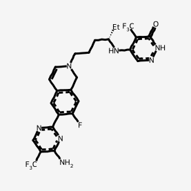 CC[C@@H](CCCN1C=Cc2cc(-c3ncc(C(F)(F)F)c(N)n3)c(F)cc2C1)Nc1cn[nH]c(=O)c1C(F)(F)F